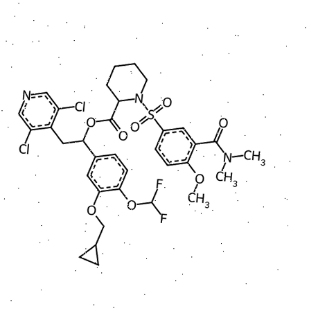 COc1ccc(S(=O)(=O)N2CCCCC2C(=O)OC(Cc2c(Cl)cncc2Cl)c2ccc(OC(F)F)c(OCC3CC3)c2)cc1C(=O)N(C)C